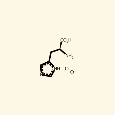 N[C@@H](Cc1cnc[nH]1)C(=O)O.[Cr].[Cr]